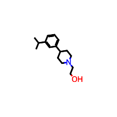 CC(C)c1cccc(C2CCN(CCO)CC2)c1